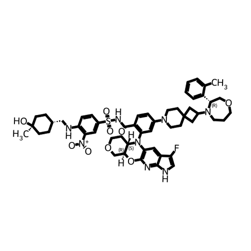 Cc1ccccc1[C@@H]1COCCCN1C1CC2(CCN(c3ccc(C(=O)NS(=O)(=O)c4ccc(NC[C@H]5CC[C@](C)(O)CC5)c([N+](=O)[O-])c4)c(N4c5cc6c(F)c[nH]c6nc5O[C@H]5COCC[C@@H]54)c3)CC2)C1